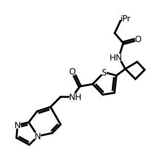 CC(C)CC(=O)NC1(c2ccc(C(=O)NCc3ccn4ccnc4c3)s2)CCC1